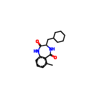 Cc1cccc2c1C(=O)NC(CC1CCCCC1)C(=O)N2